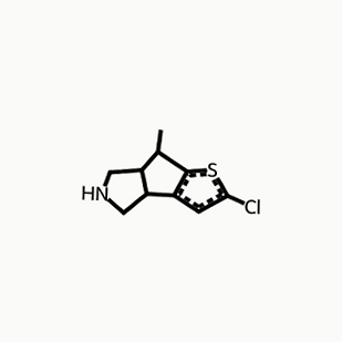 CC1c2sc(Cl)cc2C2CNCC12